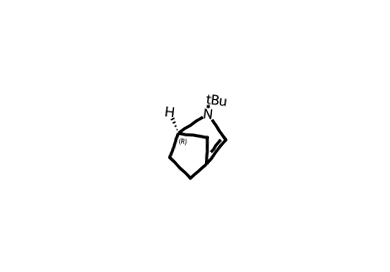 CC(C)(C)N1C=C2CC[C@@H]1C2